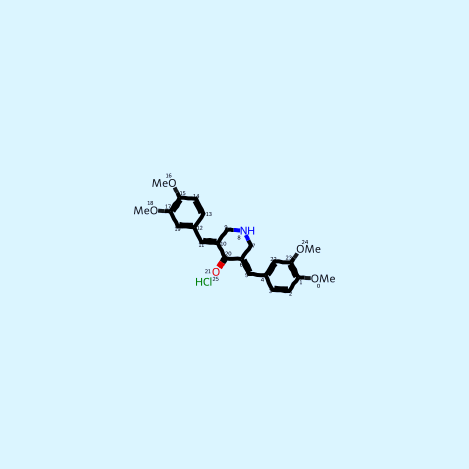 COc1ccc(C=C2CNCC(=Cc3ccc(OC)c(OC)c3)C2=O)cc1OC.Cl